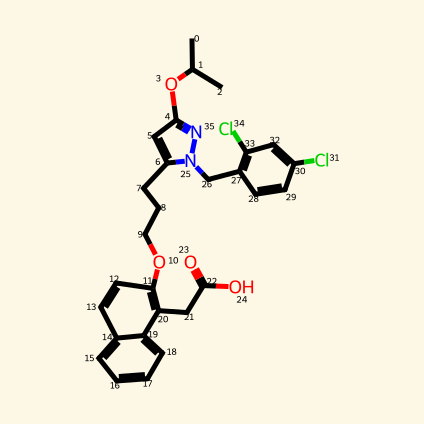 CC(C)Oc1cc(CCCOc2ccc3ccccc3c2CC(=O)O)n(Cc2ccc(Cl)cc2Cl)n1